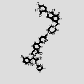 O=C1CCC(N2Cc3cc(CN4CCN(c5ccc(-c6ccc7c(c6)C(=O)N(C(C(=O)Nc6nccs6)c6cc(F)ccc6O)C7)nn5)CC4)cc(F)c3C2=O)C(=O)N1